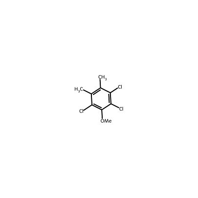 COc1c(Cl)c(C)c(C)c(Cl)c1Cl